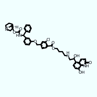 O=C(NC(c1ccccc1)c1cccc(OCc2ccc(C(=O)OCCCCNCC(O)c3ccc(O)c4[nH]c(=O)ccc34)c(Cl)c2)c1)O[C@H]1CN2CCC1CC2